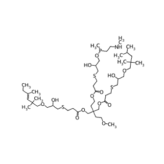 CC/C(C)=C/C(C)(C)COCC(O)CSCCC(=O)OCC(CCOC)(CCOC(=O)CCSCC(O)COP(C)CCNC)COC(=O)CCSCC(O)COCC(C)(C)CC(C)C